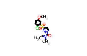 CCN(CC)C(=O)n1ccc(S(=O)(=O)c2cc(OC)ccc2Cl)n1